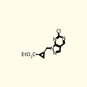 CCOC(=O)[C@@H]1C[C@@H]1Cn1ncc2cnc(Cl)nc21